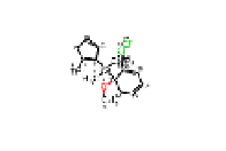 COC1([Si](C)(C)C2=[C]([Ti+2])CC=C2)CC=CC=C1C.[Cl-].[Cl-]